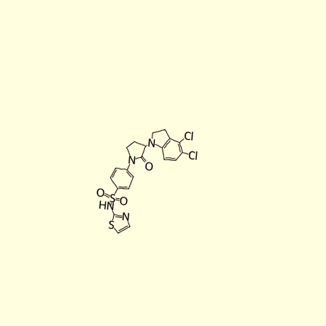 O=C1[C@@H](N2CCc3c2ccc(Cl)c3Cl)CCN1c1ccc(S(=O)(=O)Nc2nccs2)cc1